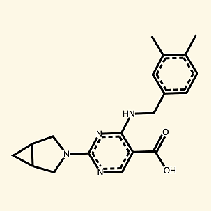 Cc1ccc(CNc2nc(N3CC4CC4C3)ncc2C(=O)O)cc1C